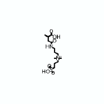 CC(CC(=O)NCCC[N+](C)(C)CCCS(=O)(=O)O)C(=O)O